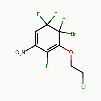 O=[N+]([O-])C1=CC(F)(F)C(F)(Br)C(OCCCl)=C1F